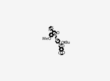 COc1ccc2c(-c3nccs3)cc(=O)n(CCN3CCC(N(Cc4ccc5c(c4)OCCO5)C(=O)OC(C)(C)C)CC3)c2c1